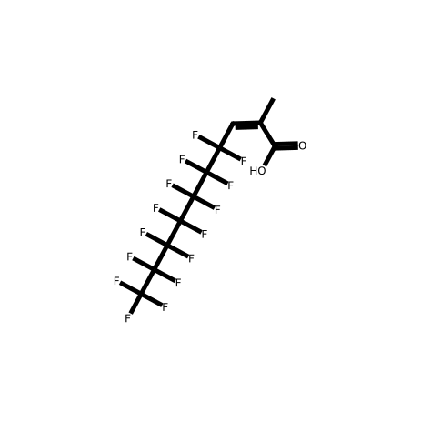 CC(=CC(F)(F)C(F)(F)C(F)(F)C(F)(F)C(F)(F)C(F)(F)C(F)(F)F)C(=O)O